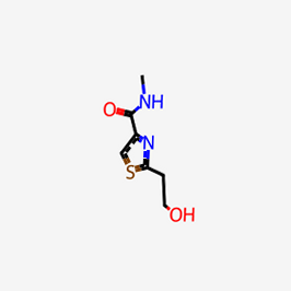 CNC(=O)c1csc(CCO)n1